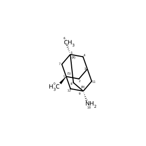 C[C@]12CC3C[C@](C)(C1)C[C@@](N)(C3)C2